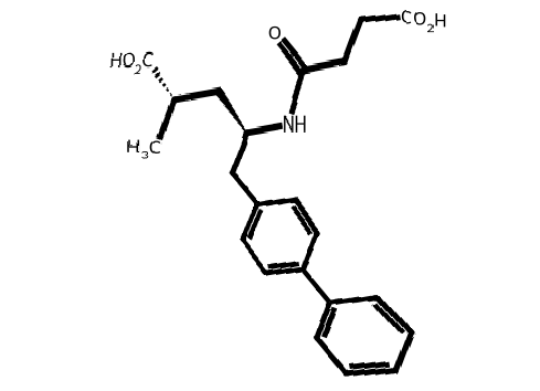 C[C@@H](C[C@H](Cc1ccc(-c2ccccc2)cc1)NC(=O)CCC(=O)O)C(=O)O